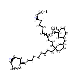 CCCCC/C=C\C/C=C\CCCCCCCCC1(CCCCCCCC/C=C\CCCCCCCC)OCC(CC2CCCC(N(C)C)C2)O1